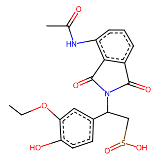 CCOc1cc(C(CS(=O)O)N2C(=O)c3cccc(NC(C)=O)c3C2=O)ccc1O